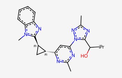 Cc1nc([C@@H]2C[C@H]2c2nc3ccccc3n2C)cc(-n2nc(C)nc2C(O)C(C)C)n1